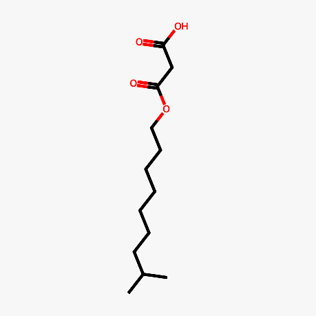 CC(C)CCCCCCCOC(=O)CC(=O)O